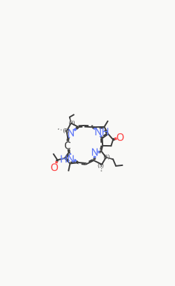 CCC[C@@H]1c2nc(cc3[nH]c(cc4nc(cc5[nH]c6c2CC(=O)c6c5C)[C@H](CC)[C@H]4C)c(C(C)=O)c3C)[C@H]1C